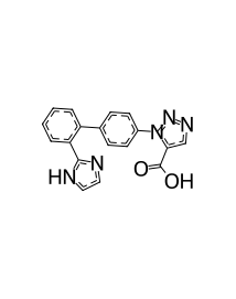 O=C(O)c1cnnn1-c1ccc(-c2ccccc2-c2ncc[nH]2)cc1